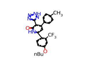 CCCCOc1ccc(-c2cc(-c3ccc(C)cc3)c(-c3nn[nH]n3)c(=O)[nH]2)c(C(F)(F)F)c1